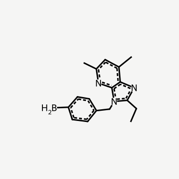 Bc1ccc(Cn2c(CC)nc3c(C)cc(C)nc32)cc1